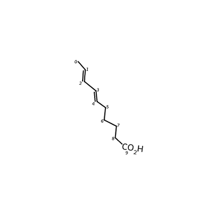 C/C=C/C=C/CCCCC(=O)O